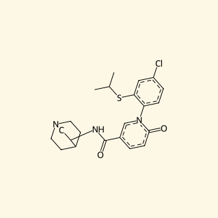 CC(C)Sc1cc(Cl)ccc1-n1cc(C(=O)NC2CN3CCC2CC3)ccc1=O